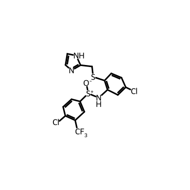 [O-][S+](Nc1cc(Cl)ccc1SCc1ncc[nH]1)c1ccc(Cl)c(C(F)(F)F)c1